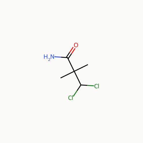 CC(C)(C(N)=O)C(Cl)Cl